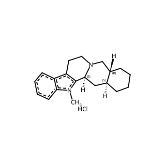 Cl.Cn1c2c(c3ccccc31)CCN1C[C@@H]3CCCC[C@H]3C[C@@H]21